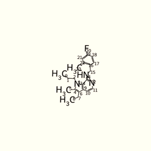 CCCn1c(C)c(CC)c2ccnc(NCc3ccc(F)cc3C)c21